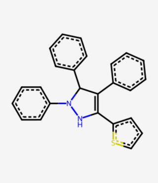 c1ccc(C2=C(c3cccs3)NN(c3ccccc3)C2c2ccccc2)cc1